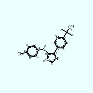 CC(C)(O)c1ccc(-c2ncoc2Sc2ccc(Cl)cc2)cn1